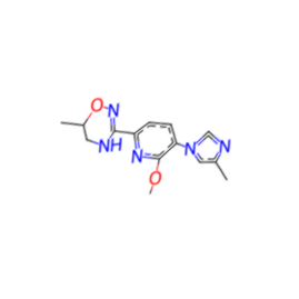 COc1nc(C2=NOC(C)CN2)ccc1-n1cnc(C)c1